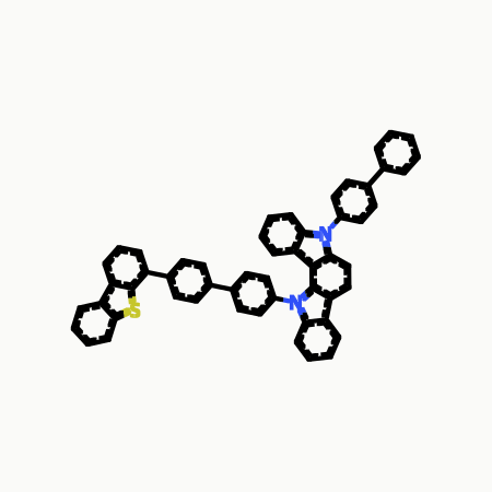 c1ccc(-c2ccc(-n3c4ccccc4c4c3ccc3c5ccccc5n(-c5ccc(-c6ccc(-c7cccc8c7sc7ccccc78)cc6)cc5)c34)cc2)cc1